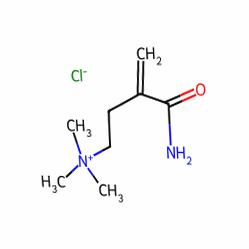 C=C(CC[N+](C)(C)C)C(N)=O.[Cl-]